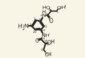 Nc1cc(NC(=O)C(O)CO)cc(NC(=O)C(O)CO)c1